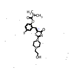 CN(C)C(=O)Oc1ccc(F)cc1/C=C1\SC(N2CCN(CCO)CC2)=NC1=O